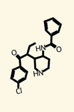 CCC(C(=O)c1ccc(Cl)cc1)C1CNCCC1NC(=O)c1ccccc1